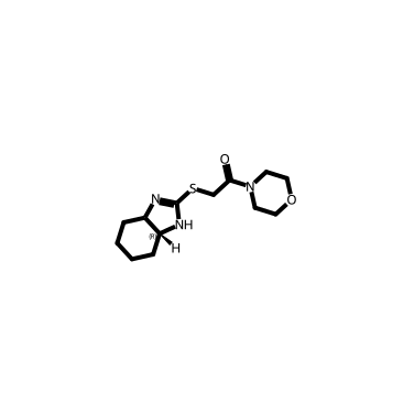 O=C(CSC1=NC2CCCC[C@H]2N1)N1CCOCC1